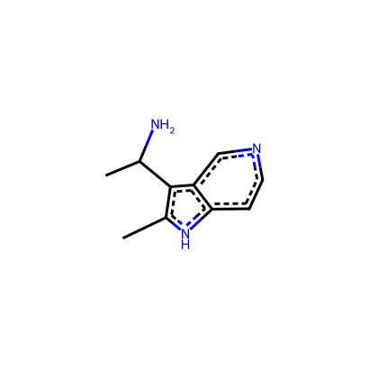 Cc1[nH]c2ccncc2c1C(C)N